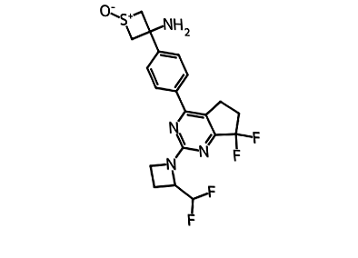 NC1(c2ccc(-c3nc(N4CCC4C(F)F)nc4c3CCC4(F)F)cc2)C[S+]([O-])C1